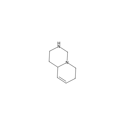 C1=CC2CCNCN2CC1